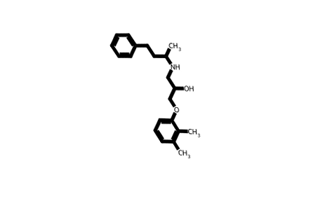 Cc1cccc(OCC(O)CNC(C)CCc2ccccc2)c1C